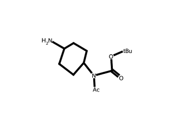 CC(=O)N(C(=O)OC(C)(C)C)C1CCC(N)CC1